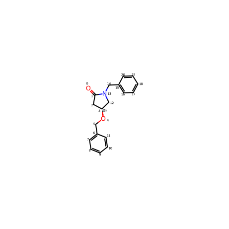 O=C1C[C@H](OCc2ccccc2)CN1Cc1ccccc1